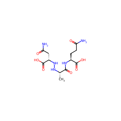 C[C@H](NN[C@@H](CC(N)=O)C(=O)O)C(=O)N[C@@H](CCC(N)=O)C(=O)O